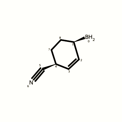 B[C@H]1C=C[C@@H](C#N)CC1